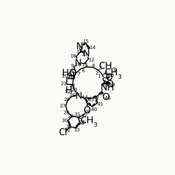 C[C@@H]1[C@@H](C)CCC[C@@](O)(CN2CCn3ccnc3C2)[C@@H]2CC[C@H]2CN2CCCCC3C=C(Cl)C=CC3(C)COc3ccc(cc32)C(=O)NS1(=O)=O